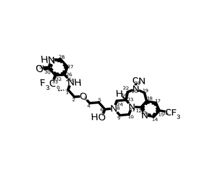 C[C@@H](COCCC(O)N1CCN2c3ncc(C(F)(F)F)cc3CN(C#N)C[C@H]2C1)Nc1cc[nH]c(=O)c1C(F)(F)F